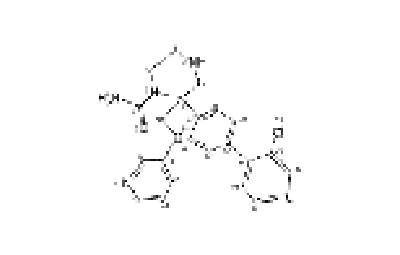 NC(=O)N1CCNCC1(COc1cccnc1)c1ccc(-c2ccccc2Cl)cc1